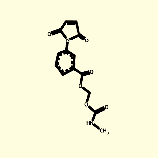 CNC(=O)OCOC(=O)c1cccc(N2C(=O)C=CC2=O)c1